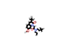 CCCN(CCC(C)(C)C)C(=O)Cn1c(=O)c(C(C)(C)C)cc2ccc(OC)cc21